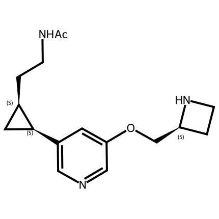 CC(=O)NCC[C@@H]1C[C@@H]1c1cncc(OC[C@@H]2CCN2)c1